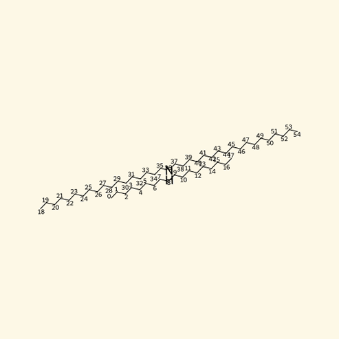 CCCCCCCCCCCCCCCCCC.CCCCCCCCCCCCCCCCCCNCCCCCCCCCCCCCCCCCC